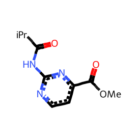 COC(=O)c1ccnc(NC(=O)C(C)C)n1